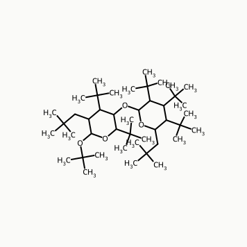 CC(C)(C)CC1OC(OC2C(C(C)(C)C)OC(OC(C)(C)C)C(CC(C)(C)C)C2C(C)(C)C)C(C(C)(C)C)C(C(C)(C)C)C1C(C)(C)C